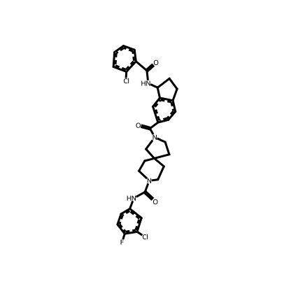 O=C(NC1CCc2ccc(C(=O)N3CCC4(CCN(C(=O)Nc5ccc(F)c(Cl)c5)CC4)C3)cc21)c1ccccc1Cl